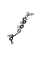 N#Cc1ccc2[nH]cc(CCCN3CCN(c4ccc(-n5ccc6nc(OCC(=O)O)ccc6c5=O)cc4F)CC3)c2c1